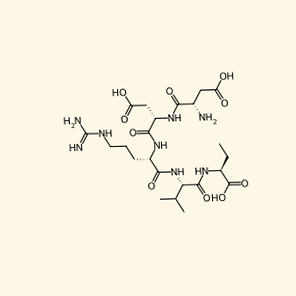 CC[C@H](NC(=O)[C@@H](NC(=O)[C@H](CCCNC(=N)N)NC(=O)[C@H](CC(=O)O)NC(=O)[C@@H](N)CC(=O)O)C(C)C)C(=O)O